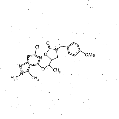 COc1ccc(CN2CC(C(C)Oc3nc(Cl)cc4nn(C)c(C)c34)OC2=O)cc1